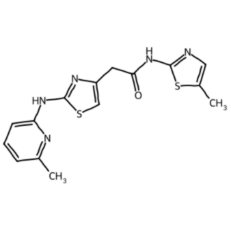 Cc1cccc(Nc2nc(CC(=O)Nc3ncc(C)s3)cs2)n1